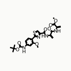 C=C(NC(=O)c1csc(-c2ccc(NC(=O)OC(C)(C)C)cc2OC)n1)C(=O)NC(=C)C(=O)OC